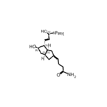 CCCCC[C@H](O)C=C[C@@H]1[C@H]2CC(=CCCC(N)=O)C[C@H]2C[C@H]1O